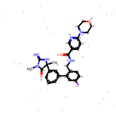 CN1C(=N)NC(C)(c2cccc(-c3cc(I)ccc3CNC(=O)c3ccc(N4CCOCC4)nc3)c2)C1=O